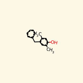 Cc1cc(Cc2ccccc2)c(C)cc1O